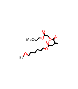 C=C(CC(=O)OCCCCCCOCC)C(=O)OCC(=O)OCCOC